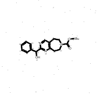 CC(C)(C)OC(=O)N1CCc2cnc(C(O)c3ccccc3)nc2CC1